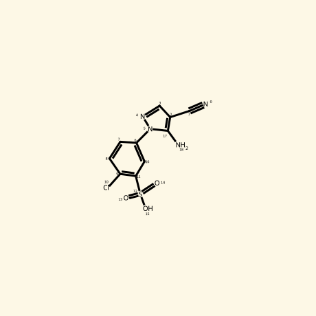 N#Cc1cnn(-c2ccc(Cl)c(S(=O)(=O)O)c2)c1N